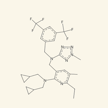 CCc1nc(N(CC2CC2)CC2CC2)c(CN(Cc2cc(C(F)(F)F)cc(C(F)(F)F)c2)c2nnn(C)n2)cc1C